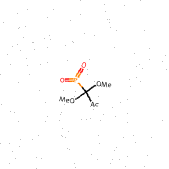 COC(OC)(C(C)=O)P(=O)=O